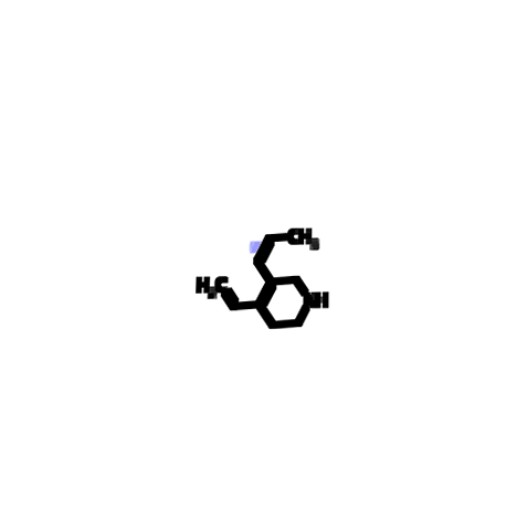 C=CC1=C(/C=C\C)CNCC1